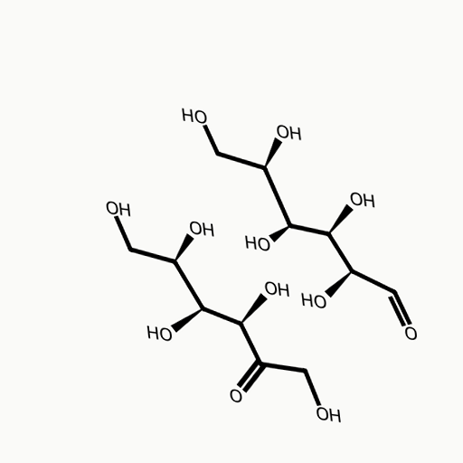 O=C(CO)[C@H](O)[C@@H](O)[C@H](O)CO.O=C[C@@H](O)[C@H](O)[C@@H](O)[C@H](O)CO